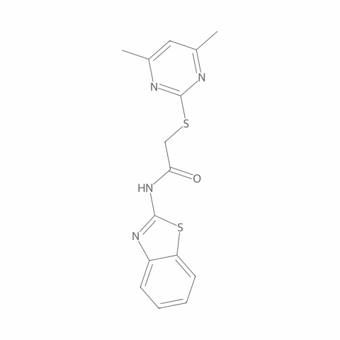 Cc1cc(C)nc(SCC(=O)Nc2nc3ccccc3s2)n1